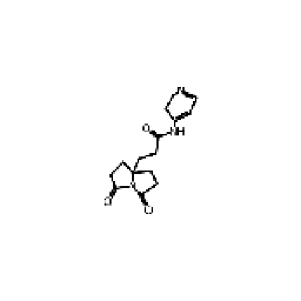 O=C(CCC12CCC(=O)N1C(=O)CC2)NC1=CC=NCC1